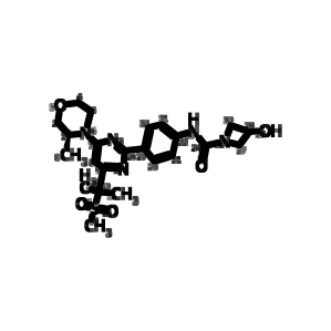 C[C@H]1COCCN1c1cc(C(C)(C)S(C)(=O)=O)nc(-c2ccc(NC(=O)N3CC(O)C3)cc2)n1